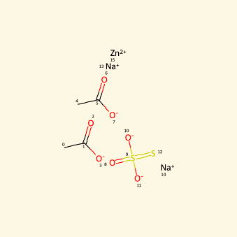 CC(=O)[O-].CC(=O)[O-].O=S([O-])([O-])=S.[Na+].[Na+].[Zn+2]